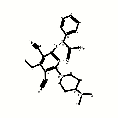 CCc1c(C#N)c(S[C@@H](C(N)=O)c2ccccc2)nc(N2CCC(N(C)C)CC2)c1C#N